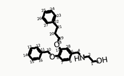 OCCNCc1ccc(OCc2ccccc2)c(OCCCc2ccccc2)c1